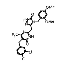 COc1ccc(Cn2c(Cc3nc(C(F)(F)F)c(Cc4ccc(Cl)c(Cl)c4)c(=O)[nH]3)n[nH]c2=O)c(OC)c1